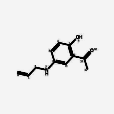 C=CCNc1ccc(O)c(C(C)=O)c1